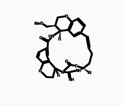 CC[C@]12CC/C=C/c3ccc4c(c3)[C@@H](NC(=O)c3ccc5c(c3)[C@@H](CCO5)N(C(=N)N1)C(=O)C2)[C@@H](COC)CO4